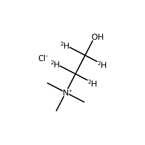 [2H]C([2H])(O)C([2H])([2H])[N+](C)(C)C.[Cl-]